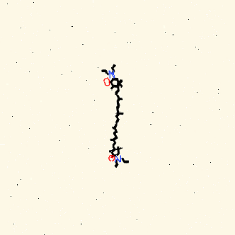 C=CCN(CC=C)C1CC(C)(C)C(/C=C/C(C)=C/C=C/C(C)=C/C=C/C=C(C)/C=C/C=C(C)/C=C/C2=C(C)C(=O)C(N(CC=C)CC=C)CC2(C)C)=C(C)C1=O